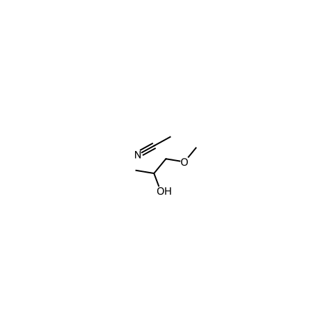 CC#N.COCC(C)O